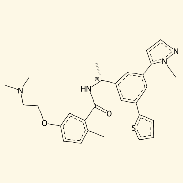 Cc1ccc(OCCN(C)C)cc1C(=O)N[C@H](C)c1cc(-c2cccs2)cc(-c2ccnn2C)c1